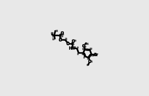 COc1cc(CCNC(=O)OCOC(=O)C(C)(C)C)c(OC)cc1Br